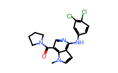 Cn1ccc2c(Nc3ccc(Cl)c(Cl)c3)ncc(C(=O)N3CCCC3)c21